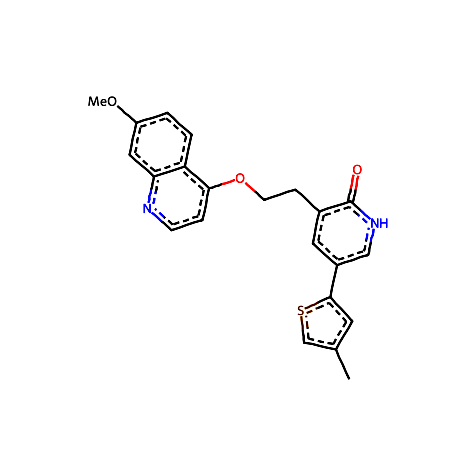 COc1ccc2c(OCCc3cc(-c4cc(C)cs4)c[nH]c3=O)ccnc2c1